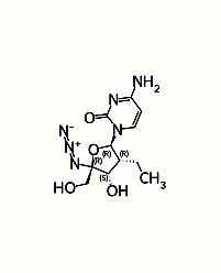 CC[C@H]1[C@H](n2ccc(N)nc2=O)O[C@@](CO)(N=[N+]=[N-])[C@H]1O